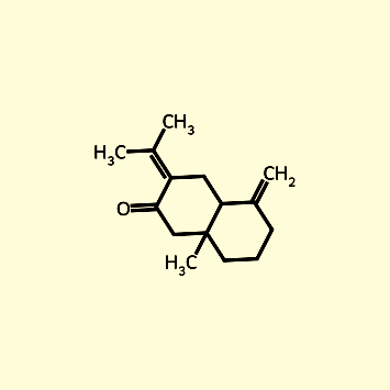 C=C1CCCC2(C)CC(=O)C(=C(C)C)CC12